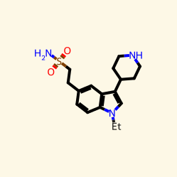 CCn1cc(C2CCNCC2)c2cc(CCS(N)(=O)=O)ccc21